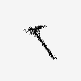 CC(C)Cc1ccc(NC(=O)[C@H](CCCNC(N)=O)NC(=O)[C@@H](NC(=O)CCOCCOCCOCCOCCOCCOCCOCCOCCNC(C)C)C(C)C)cc1